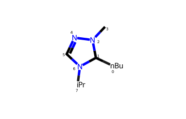 CCCCC1N(C)N=CN1C(C)C